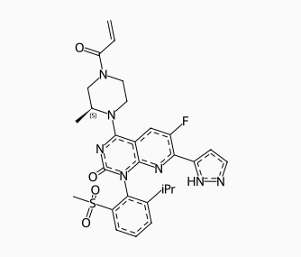 C=CC(=O)N1CCN(c2nc(=O)n(-c3c(C(C)C)cccc3S(C)(=O)=O)c3nc(-c4ccn[nH]4)c(F)cc23)[C@@H](C)C1